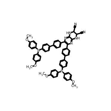 COc1ccc(N(c2ccc(OC)cc2)c2ccc(-c3ccc(-c4nc5c(nc4-c4ccc(-c6ccc(N(c7ccc(OC)cc7)c7ccc(OC)cc7)cc6)cc4)NC(C#N)C(C#N)N5)cc3)cc2)cc1